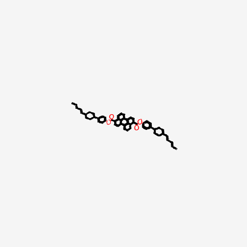 CCCCCC1CCC(c2ccc(OC(=O)c3ccc4c5cccc6c(C(=O)Oc7ccc(C8CCC(CCCCC)CC8)cc7)ccc(c7cccc3c74)c65)cc2)CC1